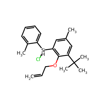 C=CCOc1c([SiH](Cl)c2ccccc2C)cc(C)cc1C(C)(C)C